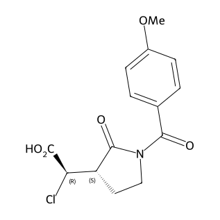 COc1ccc(C(=O)N2CC[C@H]([C@@H](Cl)C(=O)O)C2=O)cc1